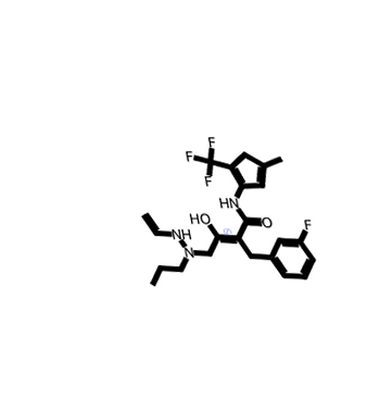 C=CNN(CCC)C/C(O)=C(\Cc1cccc(F)c1)C(=O)NC1=C(C(F)(F)F)CC(C)=C1